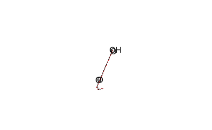 CCCCC/C=C\C/C=C\CCCCCCCC(=O)OCCCCCCCCCCCCCCCCCCCCCCCCCCCCCCCCCCCC(=O)O